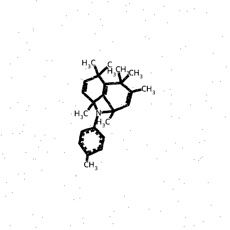 CC1=CC2(C)C3=C(C(C)(C)C=CC3(C)N2c2ccc(C)cc2)C1(C)C